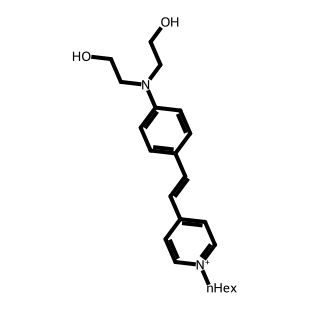 CCCCCC[n+]1ccc(/C=C/c2ccc(N(CCO)CCO)cc2)cc1